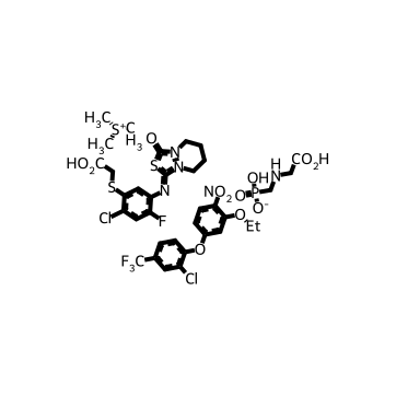 CCOc1cc(Oc2ccc(C(F)(F)F)cc2Cl)ccc1[N+](=O)[O-].C[S+](C)C.O=C(O)CNCP(=O)([O-])O.O=C(O)CSc1cc(N=c2sc(=O)n3n2CCCC3)c(F)cc1Cl